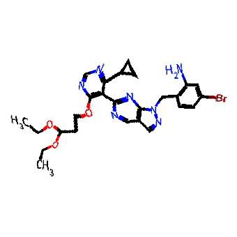 CCOC(CCOc1ncnc(C2CC2)c1-c1ncc2cnn(Cc3ccc(Br)cc3N)c2n1)OCC